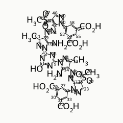 Cc1nn(-c2nc(O)nc(-n3nc(C)c(N=Nc4c(S(C)(=O)=O)cnn4-c4cc(C(=O)O)cc(C(=O)O)c4)c3N)n2)c(N)c1N=Nc1c(S(C)(=O)=O)cnn1-c1cc(C(=O)O)cc(C(=O)O)c1